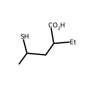 CCC(CC(C)S)C(=O)O